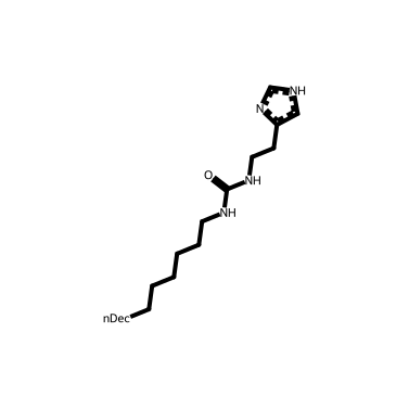 CCCCCCCCCCCCCCCCNC(=O)NCCc1c[nH]cn1